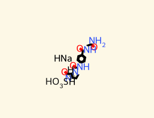 NC(=O)CNC(=O)c1ccc(NC(=O)N2CC[C@@H]3[C@H]2C(=O)N3S(=O)(=O)O)cc1.[NaH]